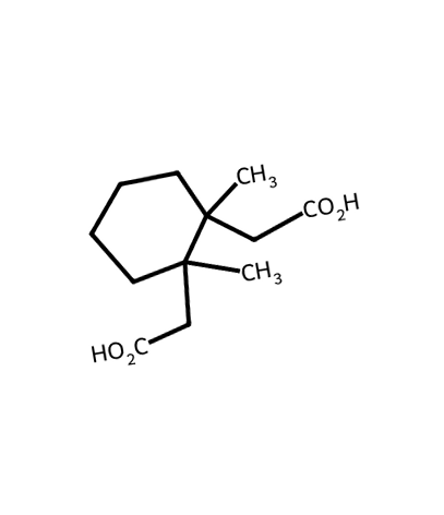 CC1(CC(=O)O)CCCCC1(C)CC(=O)O